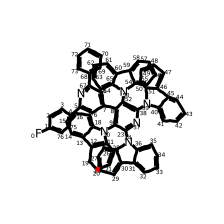 Fc1ccc(-c2cc(-c3c(-n4c5c(c6ccccc64)CCC=C5)c(-n4c5ccccc5c5ccccc54)nc(-n4c5ccccc5c5ccccc54)c3-n3c4ccccc4c4ccccc43)cc(-c3ccccc3)n2)cc1